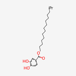 CC(C)CCCCCCCCCCCCCOC(=O)c1ccc(O)c(O)c1